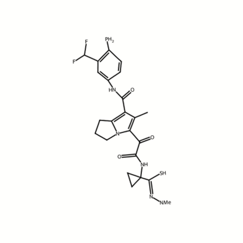 CN/N=C(\S)C1(NC(=O)C(=O)c2c(C)c(C(=O)Nc3ccc(P)c(C(F)F)c3)c3n2CCC3)CC1